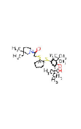 CCC1(CC)CCCN(C(=O)CS[C@@H]2CCCC[C@H]2Sc2cc(C(C)(C)C)c(O)c(C(C)(C)C)c2)C1